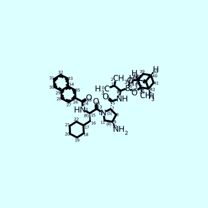 CC(C)[C@H](NC(=O)[C@@H]1C[C@@H](N)CN1C(=O)[C@@H](CC1CCCCC1)NC(=O)c1ccc2ccccc2c1)B1O[C@@H]2C[C@@H]3C[C@@H](C3(C)C)[C@]2(C)O1